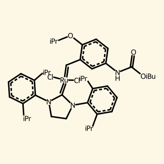 CC(C)COC(=O)Nc1ccc(OC(C)C)c([CH]=[Ru]([Cl])([Cl])=[C]2N(c3c(C(C)C)cccc3C(C)C)CCN2c2c(C(C)C)cccc2C(C)C)c1